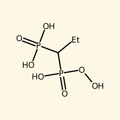 CCC(P(=O)(O)O)P(=O)(O)OO